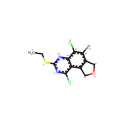 CCSc1nc(Cl)c2c3c(c(Br)c(Cl)c2n1)COC3